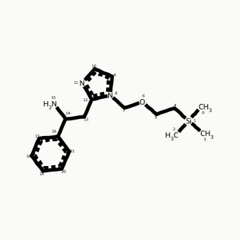 C[Si](C)(C)CCOCn1ccnc1CC(N)c1ccccc1